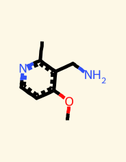 COc1ccnc(C)c1CN